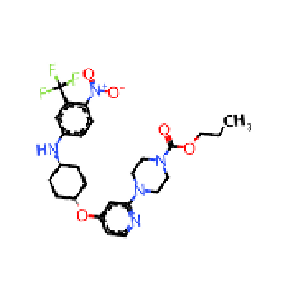 CCCOC(=O)N1CCN(c2cc(O[C@H]3CC[C@H](Nc4ccc([N+](=O)[O-])c(C(F)(F)F)c4)CC3)ccn2)CC1